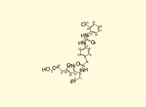 CC(C)CC(NC(=O)Cc1ccc(NC(=O)Nc2ccccc2Cl)cc1)c1cc(CCC(=O)O)on1